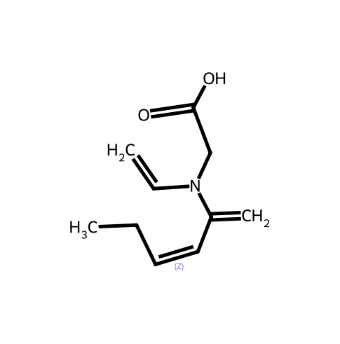 C=CN(CC(=O)O)C(=C)/C=C\CC